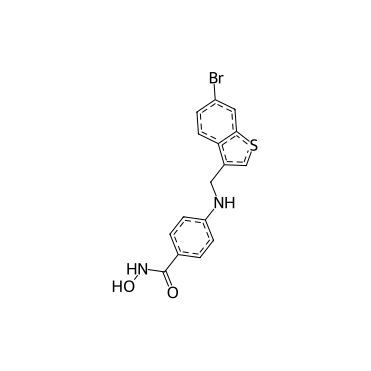 O=C(NO)c1ccc(NCc2csc3cc(Br)ccc23)cc1